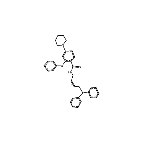 O=C(NC/C=C\CC(c1ccccc1)c1ccccc1)c1ccc(N2CCCCC2)cc1Oc1ccccc1